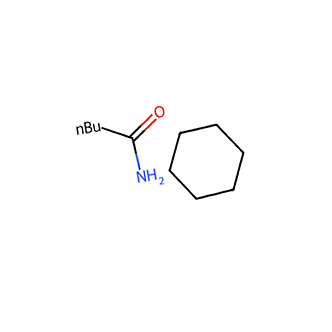 C1CCCCC1.CCCCC(N)=O